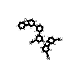 N#Cc1cc(-c2cccc(-c3ccc4oc5ccccc5c4c3)c2)cc(-n2c3ccc(C#N)cc3c3cc(C#N)ccc32)c1